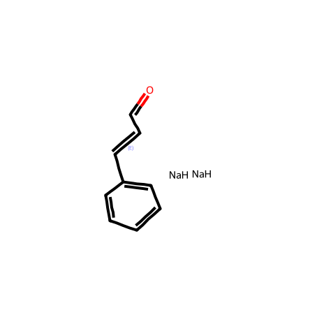 O=C/C=C/c1ccccc1.[NaH].[NaH]